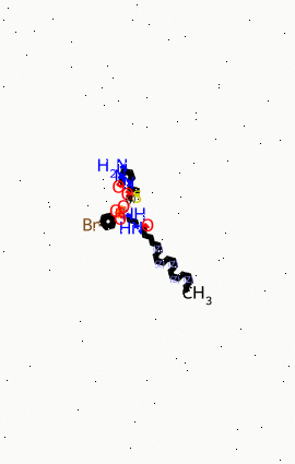 CC/C=C\C/C=C\C/C=C\C/C=C\C/C=C\CCCC(=O)NCCNP(=O)(OC[C@@H]1OC(n2ccc(N)nc2=O)CS1)Oc1ccc(Br)cc1